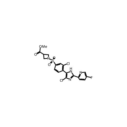 COC(=O)C1CN(S(=O)(=O)c2ccc(-c3[nH]c(-c4ccc(F)cn4)nc3Cl)c(Cl)c2)C1